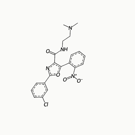 CN(C)CCNC(=O)c1nc(-c2cccc(Cl)c2)oc1-c1ccccc1[N+](=O)[O-]